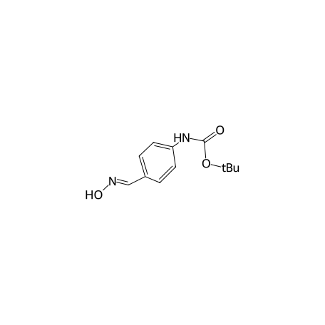 CC(C)(C)OC(=O)Nc1ccc(C=NO)cc1